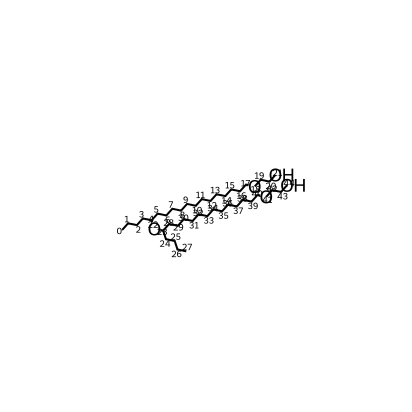 CCCCC(CCCCCCCCCCCCCOCCO)OC(CCCC)CCCCCCCCCCCCCOCCO